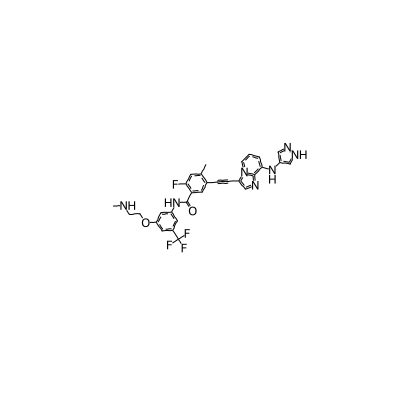 CNCCOc1cc(NC(=O)c2cc(C#Cc3cnc4c(Nc5cn[nH]c5)cccn34)c(C)cc2F)cc(C(F)(F)F)c1